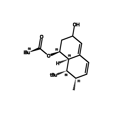 CC[C@H](C)C(=O)O[C@H]1CC(O)C=C2C=C[C@H](C)[C@H](C(C)(C)C)[C@H]21